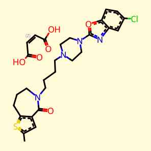 Cc1cc2c(s1)CCCN(CCCCN1CCN(c3nc4cc(Cl)ccc4o3)CC1)C2=O.O=C(O)/C=C\C(=O)O